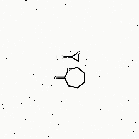 CC1CO1.O=C1CCCCCO1